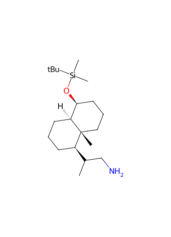 CC(CN)[C@H]1CCC[C@H]2[C@@H](O[Si](C)(C)C(C)(C)C)CCC[C@]12C